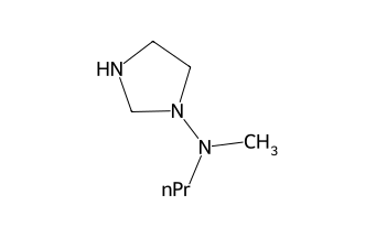 CCCN(C)N1CCNC1